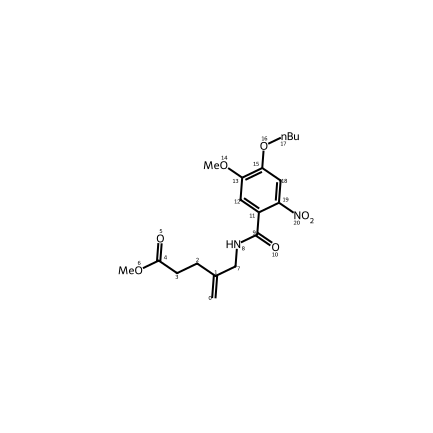 C=C(CCC(=O)OC)CNC(=O)c1cc(OC)c(OCCCC)cc1[N+](=O)[O-]